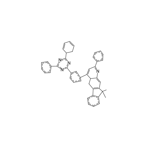 CC1(C)C2=C(CC3C(=C2)N=C(c2ccccc2)C=C3c2cccc(-c3nc(-c4ccccc4)nc(C4C=CC=CC4)n3)c2)c2ccccc21